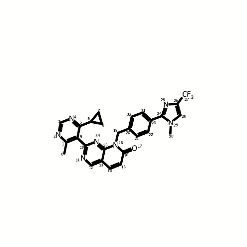 Cc1ncnc(C2CC2)c1-c1ncc2ccc(=O)n(Cc3ccc(-c4nc(C(F)(F)F)cn4C)cc3)c2n1